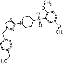 CCc1ccc(Cc2csc(N3CCC(S(=O)(=O)c4cc(OC)ccc4OC)CC3)n2)cc1